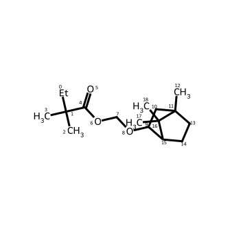 CCC(C)(C)C(=O)OCOC1CC2(C)CCC1C2(C)C